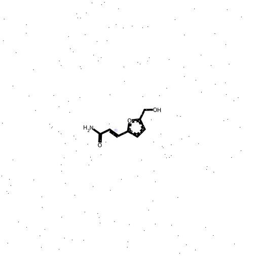 NC(=O)/C=C/c1ccc(CO)o1